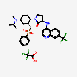 CC(C)N(C)[C@@H]1CC[C@H](N2CC[C@@H](Nc3ccnc4cc(C(F)(F)F)ccc34)C2=O)[C@H](CS(=O)(=O)c2ccccc2)C1.O=C(O)C(F)(F)F